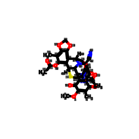 COC1=C(C)C(=O)C2=C(C1=O)C1C3[C@@H]4SCC(NC(C)=O)C(=O)OC[C@@H](c5c6c(c(C)c(OC(C)=O)c54)OCO6)N3[C@@H](C#N)C(C2)N1C